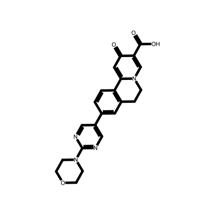 O=C(O)c1cn2c(cc1=O)-c1ccc(-c3cnc(N4CCOCC4)nc3)cc1CC2